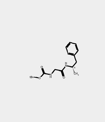 C[C@@H](Cc1ccccc1)NC(=O)CNC(=O)OC(C)(C)C